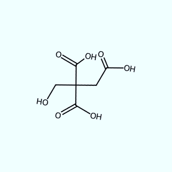 O=C(O)CC(CO)(C(=O)O)C(=O)O